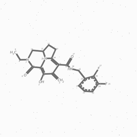 C=C1C(O)=C2C(=O)N(CC)CC3CCC(=C1C(=O)NCc1cccc(F)c1F)N23